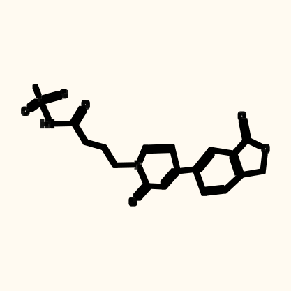 CS(=O)(=O)NC(=O)CCCn1ccc(-c2ccc3c(c2)C(=O)OC3)cc1=O